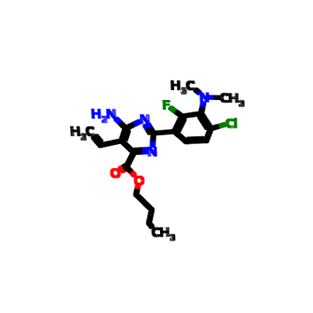 C=Cc1c(N)nc(-c2ccc(Cl)c(N(C)C)c2F)nc1C(=O)OCCCC